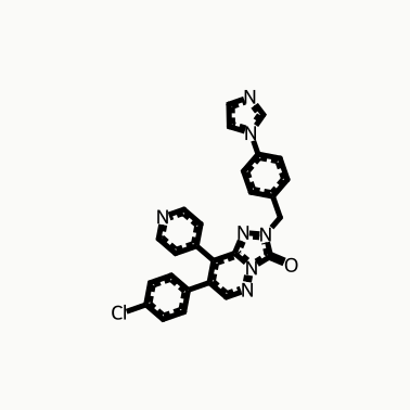 O=c1n(Cc2ccc(-n3ccnc3)cc2)nc2c(-c3ccncc3)c(-c3ccc(Cl)cc3)cnn12